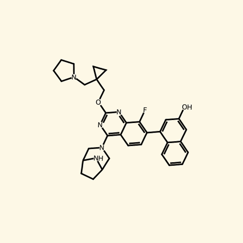 Oc1cc(-c2ccc3c(N4CC5CCC(C4)N5)nc(OCC4(CN5CCCC5)CC4)nc3c2F)c2ccccc2c1